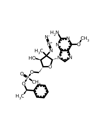 COc1nc(N)nc2c1ncn2[C@@H]1O[C@H](COP(C)(=O)O[C@H](C)c2ccccc2)[C@@H](O)C1(C)N=[N+]=[N-]